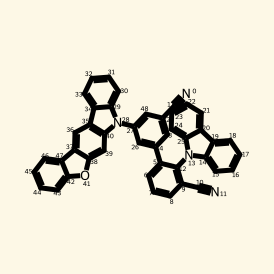 N#Cc1cc(-c2cccc(C#N)c2-n2c3ccccc3c3ccccc32)cc(-n2c3ccccc3c3cc4c(cc32)oc2ccccc24)c1